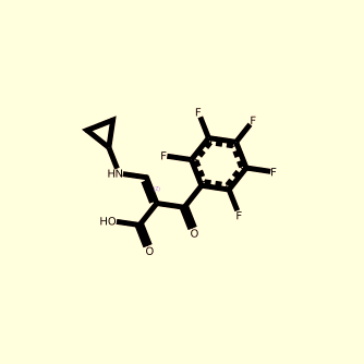 O=C(O)/C(=C\NC1CC1)C(=O)c1c(F)c(F)c(F)c(F)c1F